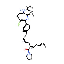 C=CC/C=C(\C/C=C\Cc1ccc(C2=C(F)CC=C(NC(=C)C)C(C)=N2)cc1)C(=O)N1CCCC1